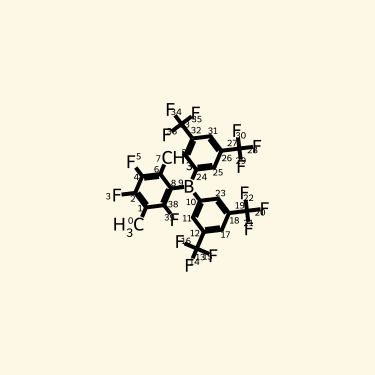 Cc1c(F)c(F)c(C)c(B(c2cc(C(F)(F)F)cc(C(F)(F)F)c2)c2cc(C(F)(F)F)cc(C(F)(F)F)c2)c1F